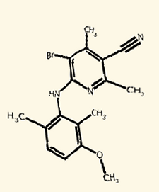 COc1ccc(C)c(Nc2nc(C)c(C#N)c(C)c2Br)c1C